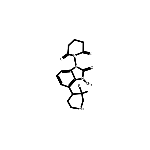 Cn1c(=O)n(N2C(=O)CCCC2=O)c2cccc(C3CCNCC3(F)F)c21